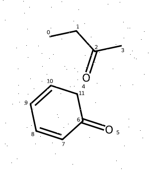 CCC(C)=O.O=C1C=CC=CC1